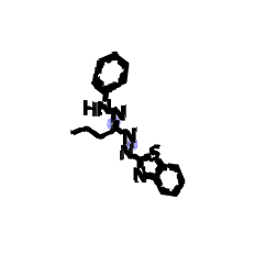 CCCC(/N=N/c1nc2ccccc2s1)=N\Nc1ccccc1